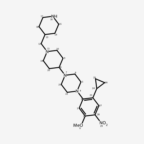 COc1cc(N2CCN(C3CCN(CC4CCNCC4)CC3)CC2)c(C2CC2)cc1[N+](=O)[O-]